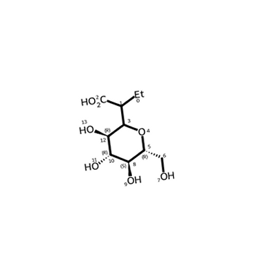 CCC(C(=O)O)C1O[C@H](CO)[C@@H](O)[C@H](O)[C@H]1O